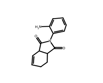 Nc1ccccc1N1C(=O)C2C=CCCC2C1=O